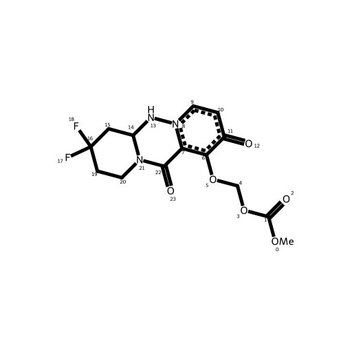 COC(=O)OCOc1c2n(ccc1=O)NC1CC(F)(F)CCN1C2=O